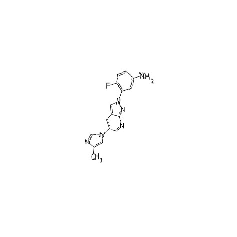 Cc1cn(-c2cnc3nn(-c4cc(N)ccc4F)cc3c2)cn1